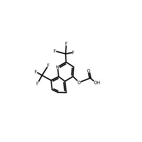 O=C(O)Oc1cc(C(F)(F)F)nc2c(C(F)(F)F)cccc12